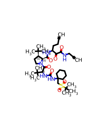 C#CCCC(NC(=O)[C@@H]1[C@H](C(C)(C)C)CCN1C(=O)[C@@H](NC(=O)NC1(CS(=O)(=O)C(C)(C)C)CCCCC1)C(C)(C)C)C(=O)C(=O)NCC#C